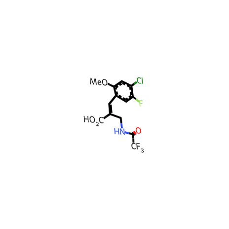 COc1cc(Cl)c(F)cc1C=C(CNC(=O)C(F)(F)F)C(=O)O